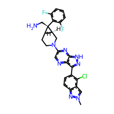 Cn1cc2c(Cl)c(-c3n[nH]c4nc(N5CC[C@@H]6[C@H](C5)[C@@]6(CN)c5c(F)cccc5F)cnc34)ccc2n1